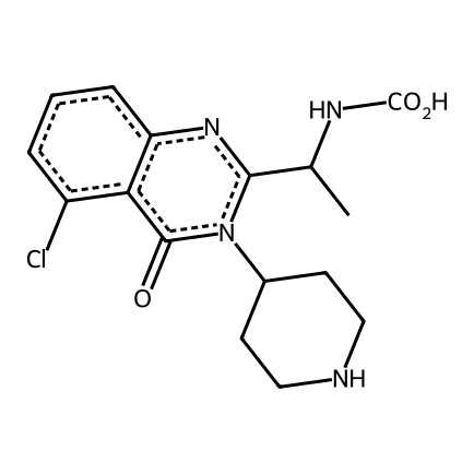 CC(NC(=O)O)c1nc2cccc(Cl)c2c(=O)n1C1CCNCC1